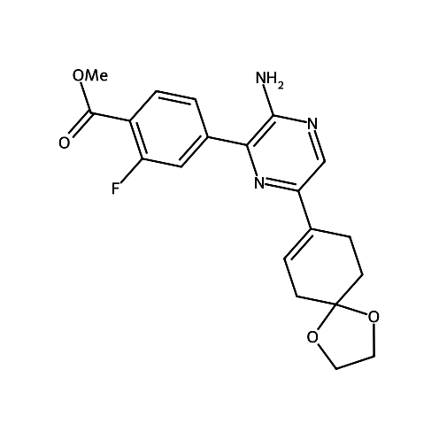 COC(=O)c1ccc(-c2nc(C3=CCC4(CC3)OCCO4)cnc2N)cc1F